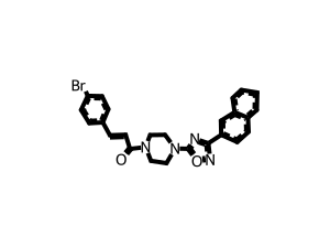 O=C(/C=C/c1ccc(Br)cc1)N1CCN(c2nc(-c3ccc4ccccc4c3)no2)CC1